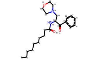 CCCCCCCCCC(=O)NC(CN1CCOCC1)C(=O)c1ccccc1